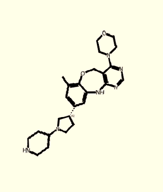 Cc1cc([C@@H]2CCN(C3CCNCC3)C2)cc2c1OCc1c(ncnc1N1CCOCC1)N2